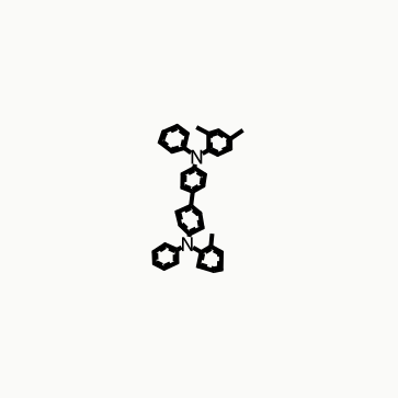 Cc1ccc(N(c2ccccc2)c2ccc(-c3ccc(N(c4ccccc4)c4ccccc4C)cc3)cc2)c(C)c1